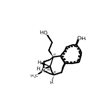 C[C@H]1[C@H]2Cc3ccc(O)cc3[C@@]1(CCO)CN2C